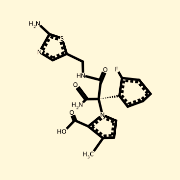 Cc1ccn([C@@](C(N)=O)(C(=O)NCc2cnc(N)s2)c2ccccc2F)c1C(=O)O